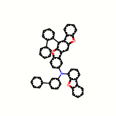 c1ccc(-c2cccc(N(c3ccc4oc5c(-c6ccccc6-c6ccccc6)c6c(cc5c4c3)oc3ccccc36)c3cccc4c3oc3ccccc34)c2)cc1